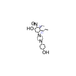 C=C/C=c1/c(N2CCN(c3ccc(O)cc3)CC2)cc(O)c(N=O)/c1=C/C